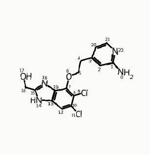 Nc1cc(CCOc2c(Cl)c(Cl)cc3[nH]c(CO)nc23)ccn1